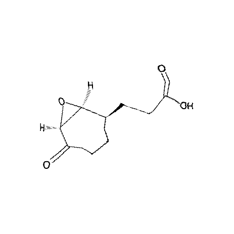 O=C(O)CC[C@H]1CCC(=O)[C@H]2O[C@@H]12